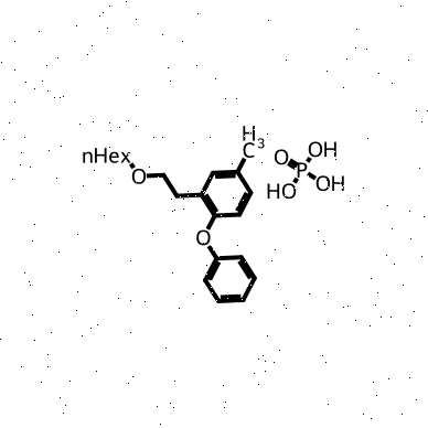 CCCCCCOCCc1cc(C)ccc1Oc1ccccc1.O=P(O)(O)O